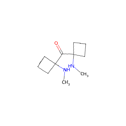 CNC1(C(=O)C2(NC)CCC2)CCC1